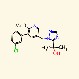 COc1ncc(Cn2ncnc2C(C)(C)O)cc1-c1cccc(Cl)c1